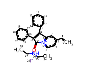 C=Cc1cc[n+]2c(c1)C(c1ccccc1)=C(c1ccccc1)C2=O.CCNCC.[I-]